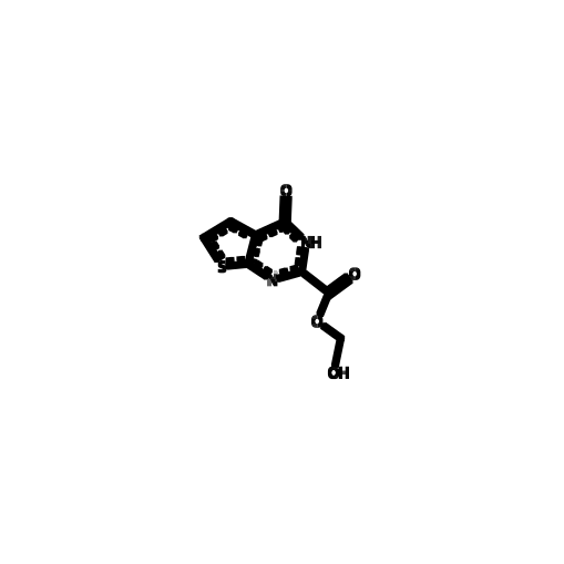 O=C(OCO)c1nc2sccc2c(=O)[nH]1